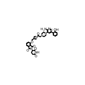 Nc1nnc(-c2ccccc2O)cc1N1CCN(CC(=O)N2CC(COc3cccc4c3C(=O)N(C3CCC(=O)NC3=O)C4=O)C2)CC1